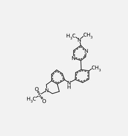 Cc1ccc(Nc2cccc3c2CCN(S(C)(=O)=O)C3)cc1-c1cnc(N(C)C)cn1